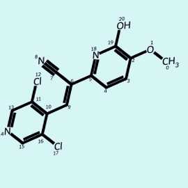 COc1ccc(/C(C#N)=C/c2c(Cl)cncc2Cl)nc1O